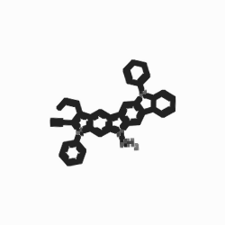 C#Cc1c(/C=C\C)c2cc3c4cc5c(cc4n(N)c3cc2n1-c1ccccc1)C1C=CC=CC1N5C1=CCCC=C1